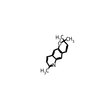 Cc1ccc2cc3c(cc2n1)C=CC(C)(C)O3